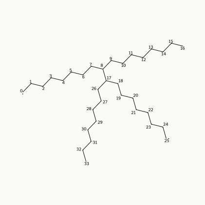 [CH2]CCCCCCCC(CCCCCCCC)C(CCCCCCC[CH2])CCCCCCCC